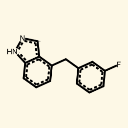 Fc1cccc(Cc2cccc3[nH]n[c]c23)c1